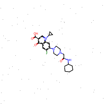 O=C(CN1CCN(c2cc3c(cc2F)c(=O)c(C(=O)O)cn3C2CC2)CC1)NC1CCCCC1